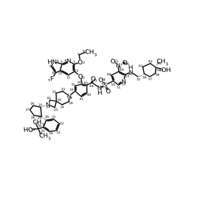 CCOc1nc2[nH]cc(F)c2cc1Oc1cc(N2CCC3(CC2)CN([C@H]2CCC[C@H]2c2ccccc2C(C)(C)O)C3)ccc1C(=O)NS(=O)(=O)c1cnc(NC[C@H]2CC[C@](C)(O)CC2)c([N+](=O)[O-])c1